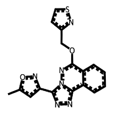 Cc1cc(-c2nnc3c4ccccc4c(OCc4ccsn4)nn23)no1